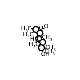 C[C@@H]1CC[C@]2(OC=O)CC[C@]3(C)C(=CCC4[C@@]5(C)CC[C@H](O)C(C)(C)C5CC[C@]43C)C2[C@H]1C